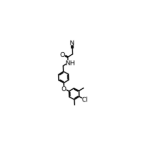 Cc1cc(Oc2ccc(CNC(=O)CC#N)cc2)cc(C)c1Cl